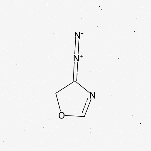 [N-]=[N+]=C1COC=N1